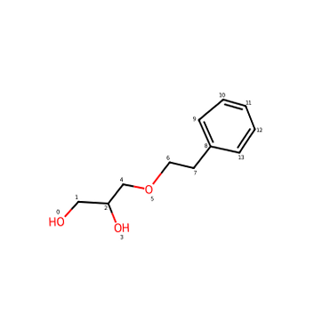 OCC(O)COCCc1ccccc1